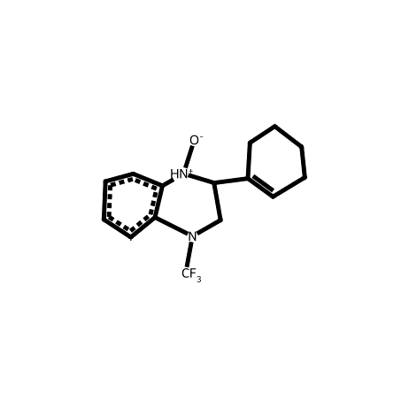 [O-][NH+]1c2ccc[c]c2N(C(F)(F)F)CC1C1=CCCCC1